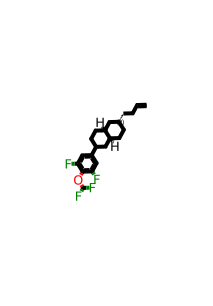 C=CCC[C@@H]1CC[C@@H]2CC(c3cc(F)c(OC(F)F)c(F)c3)CC[C@@H]2C1